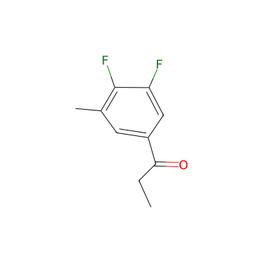 CCC(=O)c1cc(C)c(F)c(F)c1